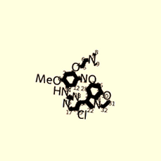 COc1cc(OCCN(C)C)c([N+](=O)[O-])cc1Nc1ncc(Cl)c(-c2cn3c4c(cccc24)OCC3)n1